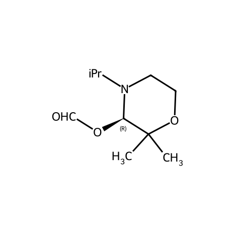 CC(C)N1CCOC(C)(C)[C@H]1OC=O